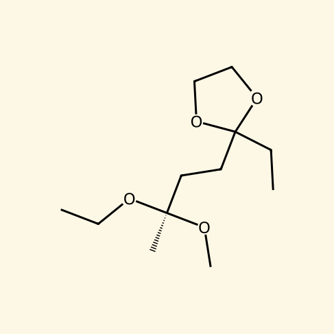 CCO[C@@](C)(CCC1(CC)OCCO1)OC